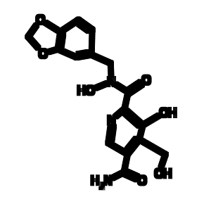 NC(=O)c1cnc(C(=O)N(O)Cc2ccc3c(c2)OCO3)c(O)c1CO